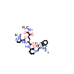 CNC(=O)C(=O)CC[C@H](NC(=O)c1ccnn1C)C(=O)Nc1cccn(CC(=O)NC2CC3CC[C@]2(C)C3(C)C)c1=O